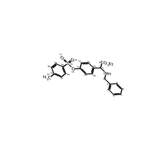 CCOC(=O)C(NCc1ccccc1)c1ccc(OS(=O)(=O)c2ccc(C)cc2)cc1